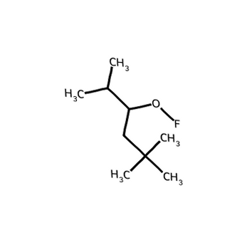 CC(C)C(CC(C)(C)C)OF